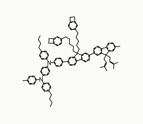 CCCCc1ccc(N(c2ccc(C)cc2)c2ccc(N(c3ccc(CCCC)cc3)c3ccc(-c4ccc5c(c4)C(CCCCCc4ccc6c(c4)CC6)(CCCCCc4ccc6c(c4)CC6)c4cc(-c6ccc7c(c6)C(CC=C(C)C)(CC=C(C)C)c6cc(C)ccc6-7)ccc4-5)cc3)cc2)cc1